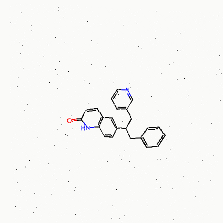 O=c1ccc2cc(C(Cc3ccccc3)Cc3cccnc3)ccc2[nH]1